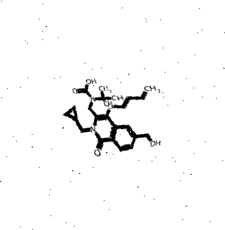 CCCCOc1c(CN(C(=O)O)C(C)(C)C)n(CC2CC2)c(=O)c2ccc(CO)cc12